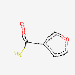 O=C(S)c1ccoc1